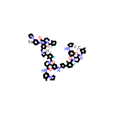 CCc1ccc(NC(=O)C2CCCN(C(=O)c3c(C)cccc3F)C2c2ccc(CN3CCC(c4ccc(F)c(C(=O)N5CCCC(C(=O)Nc6ccc(C)c(N7CCCC7)c6)C5c5ccc(NC6CCC(c7ccc(F)c(C(=O)N8CCCC(C(=O)Nc9ccc(C)c(C(F)(F)F)c9)[C@@H]8c8ccc(NC9CCCC9)cc8)c7C)C6)cc5)c4C)C3C(F)(F)F)cc2)cc1N1CCCC1